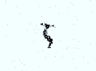 CC(C)CCCC(C)C1CCC2C3CCC4CC(OC(=O)/C=C\C(=O)OCc5cc(N)cc(N)c5)CCC4(C)C3CCC12C